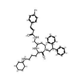 O=C(/C=C/c1ccc(F)cc1)NCC1CCN(CC(c2ccccc2)c2ccccc2)C(=O)C(CCCNC2CCCCC2)N1